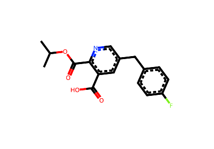 CC(C)OC(=O)c1ncc(Cc2ccc(F)cc2)cc1C(=O)O